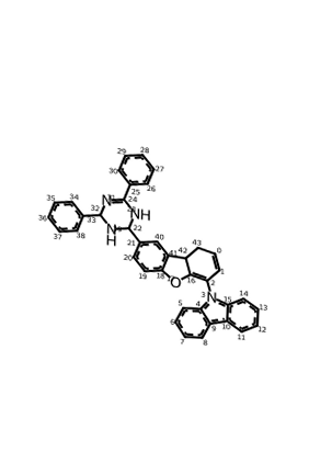 C1=CC(n2c3ccccc3c3ccccc32)=C2Oc3ccc(C4NC(c5ccccc5)=NC(c5ccccc5)N4)cc3C2C1